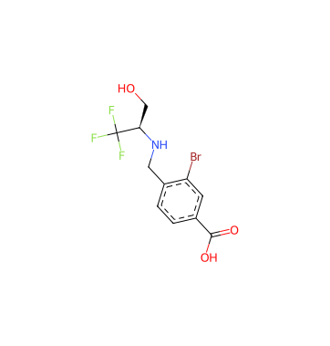 O=C(O)c1ccc(CN[C@H](CO)C(F)(F)F)c(Br)c1